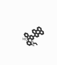 CCc1nc2cccc3c2n1-c1cc(-c2ccc4c5cccc6cccc(c7cccc2c74)c65)ccc1C3(O)c1ccccc1